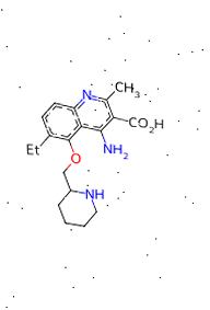 CCc1ccc2nc(C)c(C(=O)O)c(N)c2c1OCC1CCCCN1